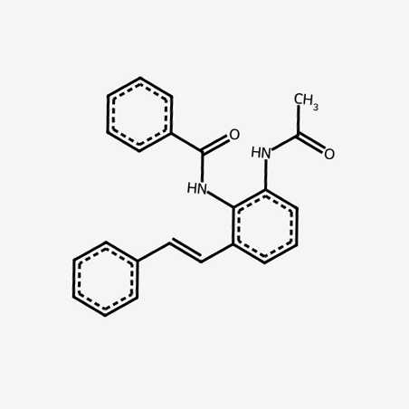 CC(=O)Nc1cccc(C=Cc2ccccc2)c1NC(=O)c1ccccc1